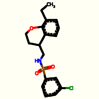 CCc1cccc2c1OCCC2CNS(=O)(=O)c1cccc(Cl)c1